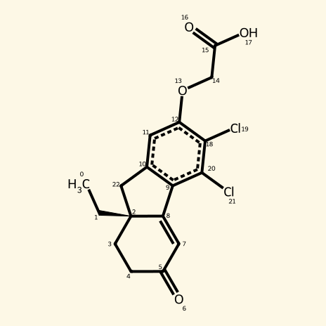 CC[C@]12CCC(=O)C=C1c1c(cc(OCC(=O)O)c(Cl)c1Cl)C2